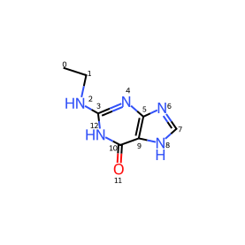 CCNc1nc2nc[nH]c2c(=O)[nH]1